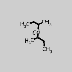 CC[CH](C)[Cd][CH](C)CC